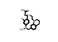 CCCN1CCCc2ccc(CN(C)c3ccc(CCC(=O)O)c(F)c3)cc21